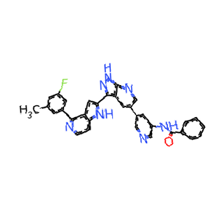 Cc1cc(F)cc(-c2nccc3[nH]c(-c4n[nH]c5ncc(-c6cncc(NC(=O)c7ccccc7)c6)cc45)cc23)c1